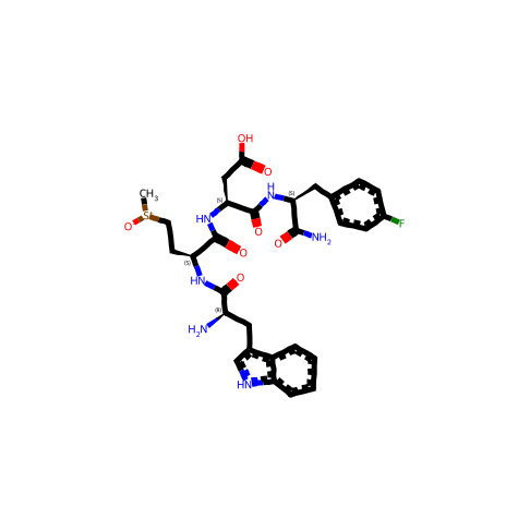 C[S+]([O-])CC[C@H](NC(=O)[C@H](N)Cc1c[nH]c2ccccc12)C(=O)N[C@@H](CC(=O)O)C(=O)N[C@@H](Cc1ccc(F)cc1)C(N)=O